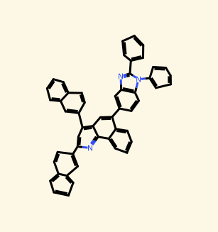 c1ccc(-c2nc3cc(-c4cc5c(-c6ccc7ccccc7c6)cc(-c6ccc7ccccc7c6)nc5c5ccccc45)ccc3n2-c2ccccc2)cc1